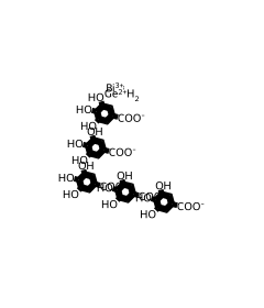 O=C([O-])c1cc(O)c(O)c(O)c1.O=C([O-])c1cc(O)c(O)c(O)c1.O=C([O-])c1cc(O)c(O)c(O)c1.O=C([O-])c1cc(O)c(O)c(O)c1.O=C([O-])c1cc(O)c(O)c(O)c1.[Bi+3].[GeH2+2]